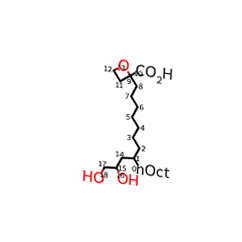 CCCCCCCCC(CCCCCCCC1(C(=O)O)CCO1)CC(O)CO